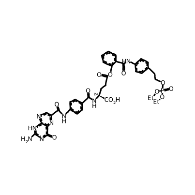 CCOP(=O)(OCC)OCCc1ccc(NC(=O)c2ccccc2OC(=O)CC[C@H](NC(=O)c2ccc(NC(=O)c3cnc4[nH]c(N)nc(=O)c4n3)cc2)C(=O)O)cc1